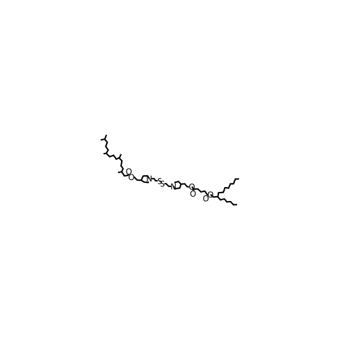 CCCCCCCCC(CCCCCC)COC(=O)CCCC(=O)OCCC1CCN(CCSSCCN2CCC(CCOC(=O)CC(C)CCCC(C)CCCC(C)CCCC(C)C)CC2)CC1